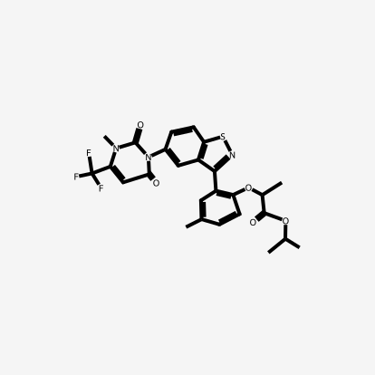 Cc1ccc(OC(C)C(=O)OC(C)C)c(-c2nsc3ccc(-n4c(=O)cc(C(F)(F)F)n(C)c4=O)cc23)c1